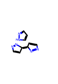 C1=CC(=C2C=CN=N2)N=N1.c1cn[nH]c1